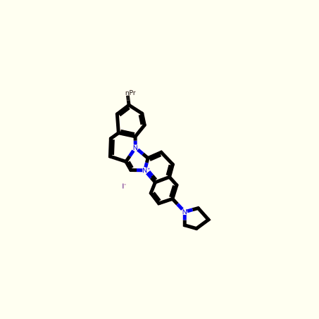 CCCc1ccc2c(ccc3c[n+]4c5ccc(N6CCCC6)cc5ccc4n32)c1.[I-]